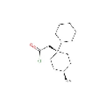 CCC[C@H]1CC[C@](CC(=O)Cl)(C2CCCCC2)CC1